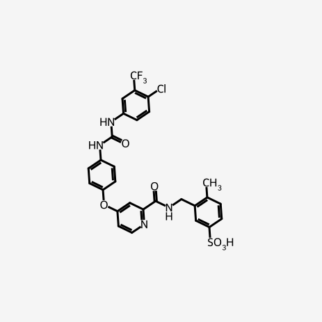 Cc1ccc(S(=O)(=O)O)cc1CNC(=O)c1cc(Oc2ccc(NC(=O)Nc3ccc(Cl)c(C(F)(F)F)c3)cc2)ccn1